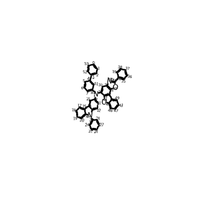 c1ccc(-c2cccc(N(c3ccc4c(c3)c3ccccc3n4-c3ccccc3)c3cc4nc(-c5ccccc5)oc4c4c3oc3ccccc34)c2)cc1